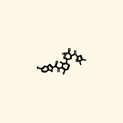 Cc1c(-c2cc(Nc3cc(C)n(C)n3)c(=O)[nH]n2)ccc(F)c1NC(=O)c1cc2cc(F)ccc2s1